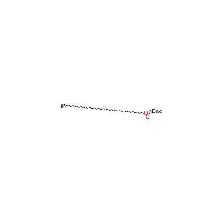 CCCCCCCCCCCC(=O)OCCCCCCCCCCCCCCCCCCCCCCCCCCCCCCCCCCCCC(C)C